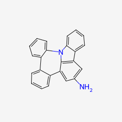 Nc1cc2c3c(c1)c1ccccc1n3-c1ccccc1-c1ccccc1-2